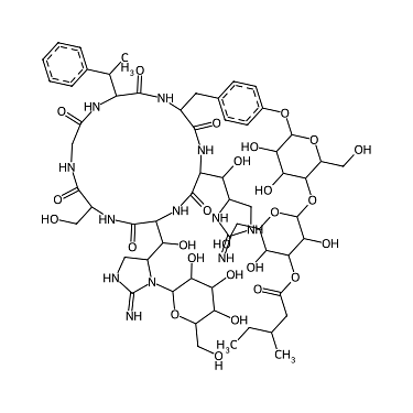 CCC(C)CC(=O)OC1C(O)C(CO)OC(OC2C(CO)OC(Oc3ccc(CC4NC(=O)C(C(C)c5ccccc5)NC(=O)CNC(=O)C(CO)NC(=O)C(C(O)C5CNC(=N)N5C5OC(CO)C(O)C(O)C5O)NC(=O)C(C(O)C5CNC(=N)N5)NC4=O)cc3)C(O)C2O)C1O